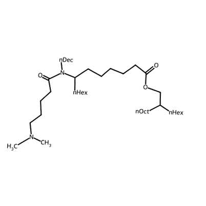 CCCCCCCCCCN(C(=O)CCCCN(C)C)C(CCCCCC)CCCCCC(=O)OCC(CCCCCC)CCCCCCCC